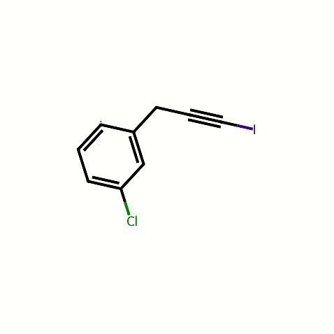 Clc1cc[c]c(CC#CI)c1